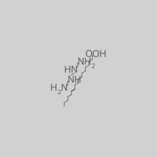 CCCCCC=CCC=CCCCCCCCC(=O)O.NCCNCCNCCN